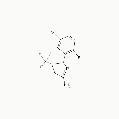 NC1=NC(c2cc(Br)ccc2F)C(C(F)(F)F)C1